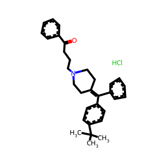 CC(C)(C)c1ccc(C(=C2CCN(CCCC(=O)c3ccccc3)CC2)c2ccccc2)cc1.Cl